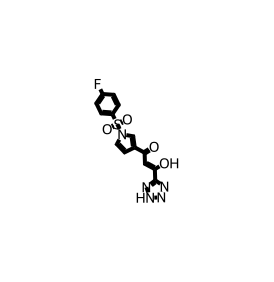 O=C(C=C(O)c1nn[nH]n1)c1ccn(S(=O)(=O)c2ccc(F)cc2)c1